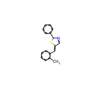 Cc1ccccc1/C=C1/C=NC(c2ccccc2)S1